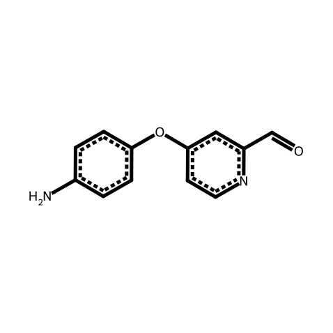 Nc1ccc(Oc2ccnc(C=O)c2)cc1